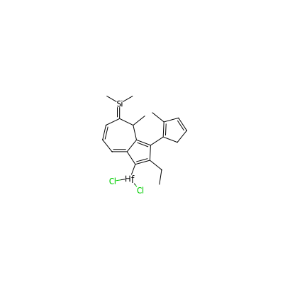 CCC1=[C]([Hf]([Cl])[Cl])C2=CC=CC(=[Si](C)C)C(C)C2=C1C1=C(C)C=CC1